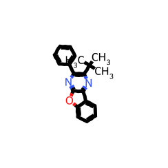 CC(C)(C)c1nc2c(nc1-c1ccccc1)oc1ccccc12